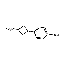 COc1ccc([C@H]2C[C@H](C(=O)O)C2)cc1